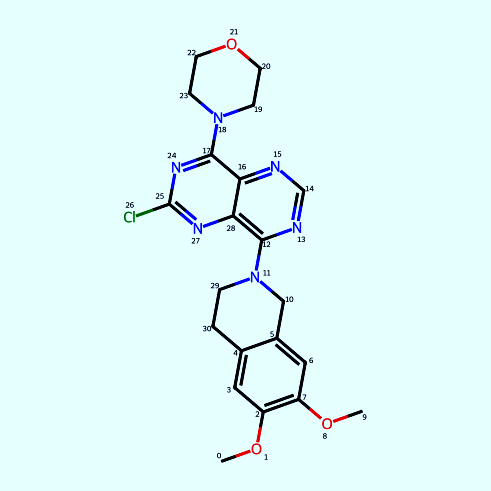 COc1cc2c(cc1OC)CN(c1ncnc3c(N4CCOCC4)nc(Cl)nc13)CC2